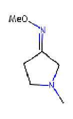 CO/N=C1\CCN(C)C1